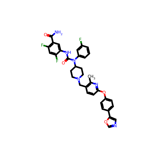 Cc1nc(Oc2ccc(-c3cnco3)cc2)ccc1CN1CCC(N(C(=O)Nc2cc(C(N)=O)c(F)cc2F)c2cccc(F)c2)CC1